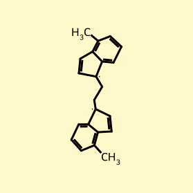 Cc1cccc2c1C=C[C]2CC[C]1C=Cc2c(C)cccc21